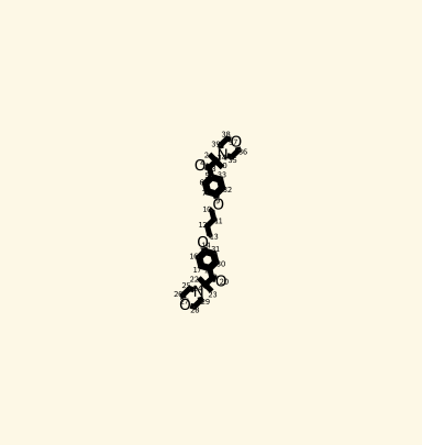 CC(C)(C(=O)c1ccc(OCCCCOc2ccc(C(=O)C(C)(C)N3CCOCC3)cc2)cc1)N1CCOCC1